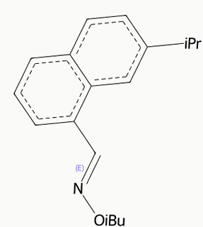 CC(C)CO/N=C/c1cccc2ccc(C(C)C)cc12